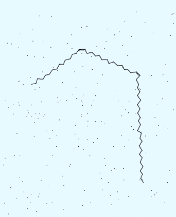 CCCCCCCCCCCCCC/C=C\CCCCCCCCCCCCC/C=C\CCCCCCCCCCCCCCCCCCCCCCCCCC